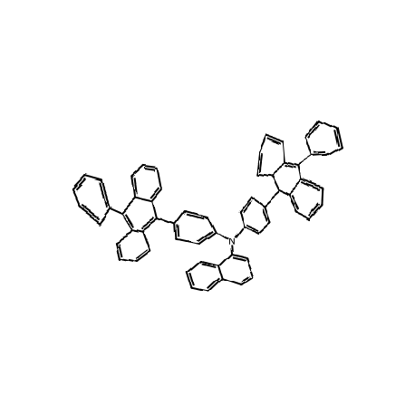 C1=CC2=C(c3ccccc3)c3ccccc3C(c3ccc(N(c4ccc(-c5c6ccccc6c(-c6ccccc6)c6ccccc56)cc4)c4cccc5ccccc45)cc3)C2C=C1